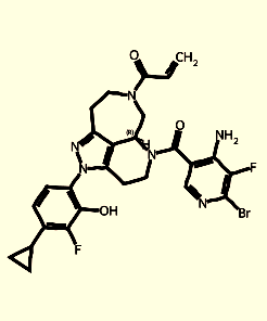 C=CC(=O)N1CCc2nn(-c3ccc(C4CC4)c(F)c3O)c3c2[C@H](C1)N(C(=O)c1cnc(Br)c(F)c1N)CC3